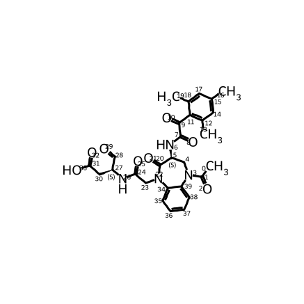 CC(=O)N1C[C@H](NC(=O)C(=O)c2c(C)cc(C)cc2C)C(=O)N(CC(=O)N[C@H](C=O)CC(=O)O)c2ccccc21